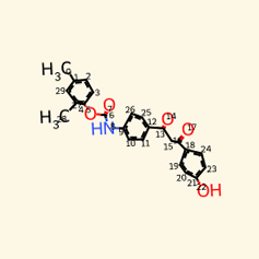 Cc1ccc(OC(=O)Nc2ccc(C(=O)CC(=O)c3ccc(O)cc3)cc2)c(C)c1